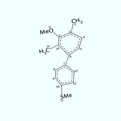 COc1c(C)c[c]c(-c2ccc(SC)cc2)c1C